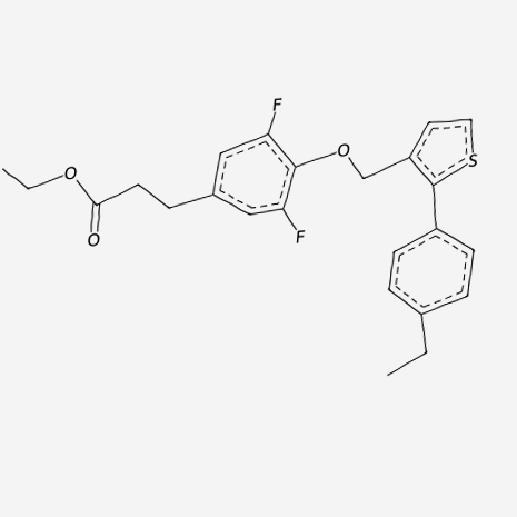 CCOC(=O)CCc1cc(F)c(OCc2ccsc2-c2ccc(CC)cc2)c(F)c1